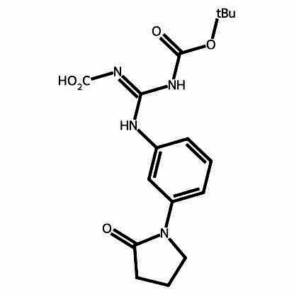 CC(C)(C)OC(=O)N/C(=N/C(=O)O)Nc1cccc(N2CCCC2=O)c1